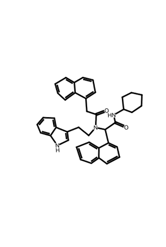 O=C(NC1CCCCC1)C(c1cccc2ccccc12)N(CCc1c[nH]c2ccccc12)C(=O)Cc1cccc2ccccc12